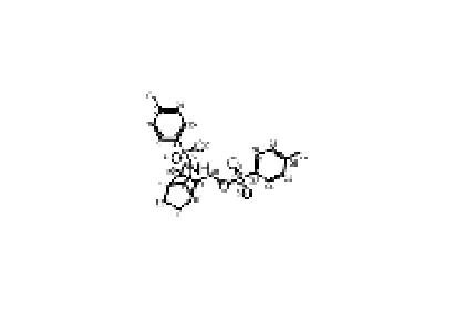 Cc1ccc(S(=O)(=O)NC2C3CCC2C(C)(C)C3COS(=O)(=O)c2ccc(C)cc2)cc1